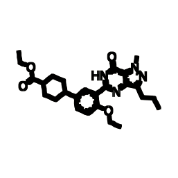 CCCc1nn(C)c2c(=O)[nH]c(-c3cc(C4CCC(C(=O)OCC)CC4)ccc3OCC)nc12